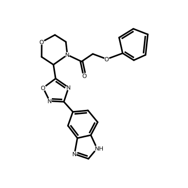 O=C(COc1ccccc1)N1CCOCC1c1nc(-c2ccc3[nH]cnc3c2)no1